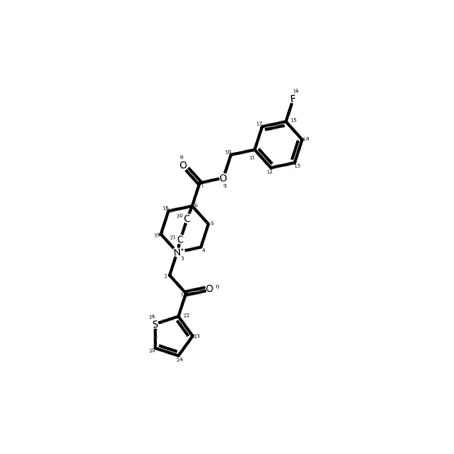 O=C(C[N+]12CCC(C(=O)OCc3cccc(F)c3)(CC1)CC2)c1cccs1